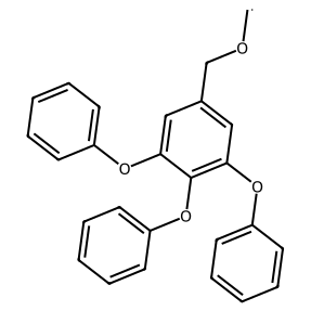 [CH2]OCc1cc(Oc2ccccc2)c(Oc2ccccc2)c(Oc2ccccc2)c1